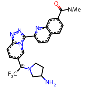 CNC(=O)c1ccc2ccc(-c3nnc4ccc([C@@H](N5CCC(N)C5)C(F)(F)F)cn34)nc2c1